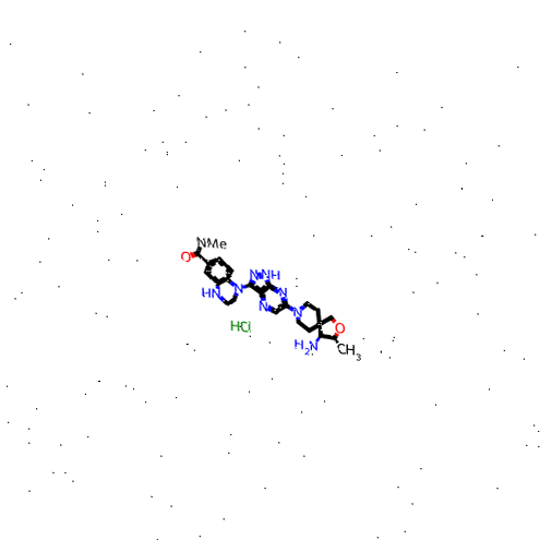 CNC(=O)c1ccc2c(c1)NCCN2c1n[nH]c2nc(N3CCC4(CC3)CO[C@@H](C)[C@H]4N)cnc12.Cl